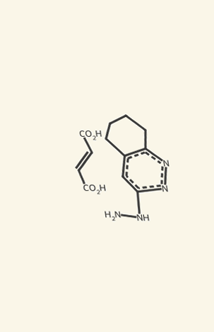 NNc1cc2c(nn1)CCCC2.O=C(O)C=CC(=O)O